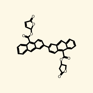 O=C1C=CC(OC(=O)c2c3ccccc3cc3cc(-c4ccc5c(C(=O)OC6COC(=O)C6)c6ccccc6cc5c4)ccc23)O1